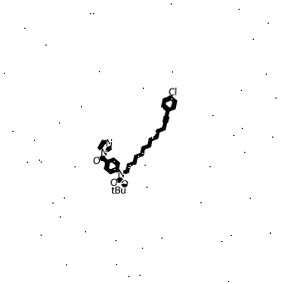 CC(C)(C)OC(=O)N(CCCCCCCCCCCC#Cc1ccc(Cl)cc1)c1ccc(C(=O)n2ccnc2)cc1